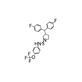 Fc1ccc(C(c2ccc(F)cc2)C2CCN(SNc3ccc(OC(F)(F)F)cc3)C2)cc1